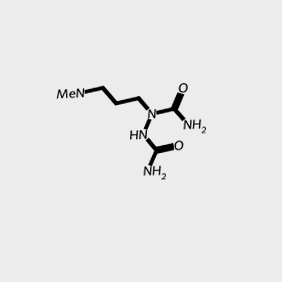 CNCCCN(NC(N)=O)C(N)=O